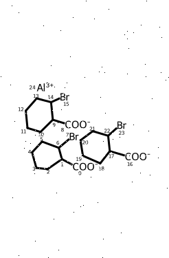 O=C([O-])C1CCCCC1Br.O=C([O-])C1CCCCC1Br.O=C([O-])C1CCCCC1Br.[Al+3]